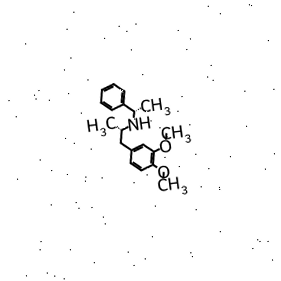 COc1ccc(C[C@H](C)N[C@@H](C)c2ccccc2)cc1OC